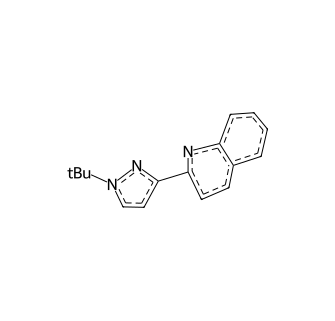 CC(C)(C)n1ccc(-c2ccc3ccccc3n2)n1